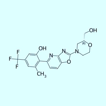 Cc1cc(C(F)(F)F)cc(O)c1-c1ccc2oc(N3CCO[C@@H](CO)C3)nc2n1